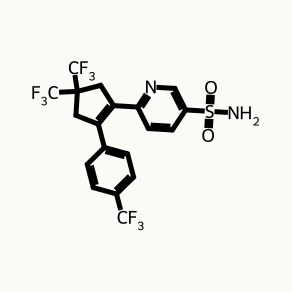 NS(=O)(=O)c1ccc(C2=C(c3ccc(C(F)(F)F)cc3)CC(C(F)(F)F)(C(F)(F)F)C2)nc1